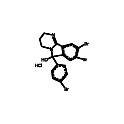 Cl.OC1(c2ccc(Br)cc2)c2cc(Br)c(Br)cc2C2=NCCCN21